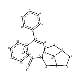 CCC(=O)N1CCC2CCC(C1)N2CC=C(c1ccccc1)c1ccccc1